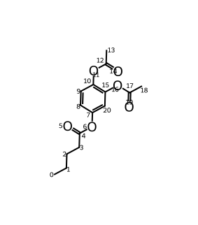 CCCCC(=O)Oc1ccc(OC(C)=O)c(OC(C)=O)c1